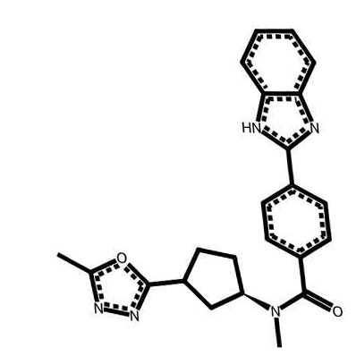 Cc1nnc(C2CC[C@@H](N(C)C(=O)c3ccc(-c4nc5ccccc5[nH]4)cc3)C2)o1